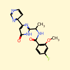 COc1cc(F)ccc1C(=O)NC(C)c1nc(-c2ccncn2)cc(=O)[nH]1